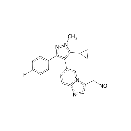 Cn1nc(-c2ccc(F)cc2)c(-c2ccc3ncc(CN=O)n3c2)c1C1CC1